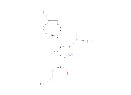 CC(C)(C)ONC(=O)c1nc(NC=O)c(-c2ccc(Br)cc2)[se]1